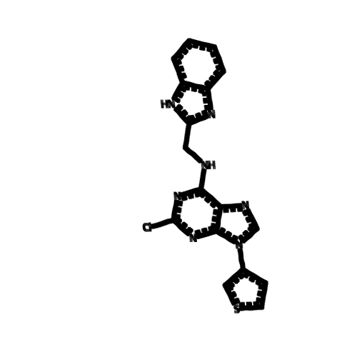 Clc1nc(NCc2nc3ccccc3[nH]2)c2ncn(-c3ccsc3)c2n1